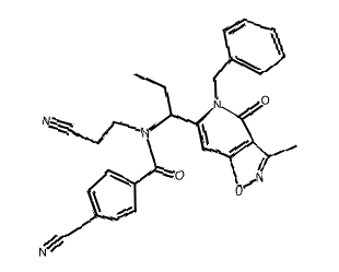 CCC(c1cc2onc(C)c2c(=O)n1Cc1ccccc1)N(CCC#N)C(=O)c1ccc(C#N)cc1